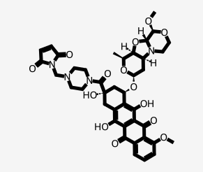 COc1cccc2c1C(=O)c1c(O)c3c(c(O)c1C2=O)C[C@@](O)(C(=O)N1CCN(CN2C(=O)C=CC2=O)CC1)C[C@@H]3O[C@H]1C[C@H]2[C@H](O[C@@H]3[C@@H](OC)OCCN32)[C@H](C)O1